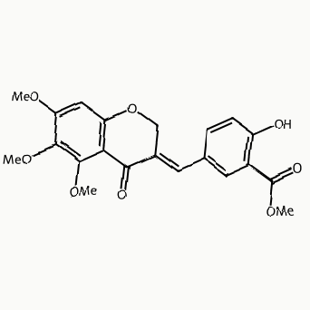 COC(=O)c1cc(/C=C2\COc3cc(OC)c(OC)c(OC)c3C2=O)ccc1O